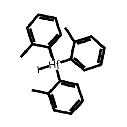 Cc1cccc[c]1[Hf]([I])([c]1ccccc1C)[c]1ccccc1C